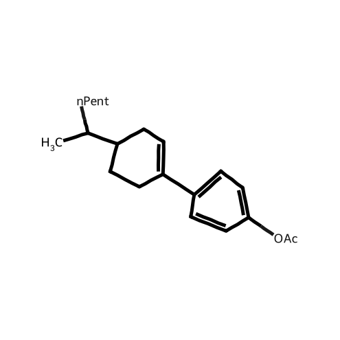 CCCCCC(C)C1CC=C(c2ccc(OC(C)=O)cc2)CC1